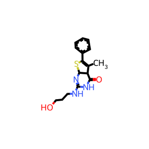 CC1=C(c2ccccc2)SC2N=C(NCCCO)NC(=O)C12